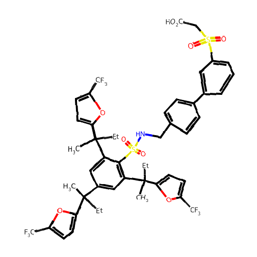 CCC(C)(c1cc(C(C)(CC)c2ccc(C(F)(F)F)o2)c(S(=O)(=O)NCc2ccc(-c3cccc(S(=O)(=O)CC(=O)O)c3)cc2)c(C(C)(CC)c2ccc(C(F)(F)F)o2)c1)c1ccc(C(F)(F)F)o1